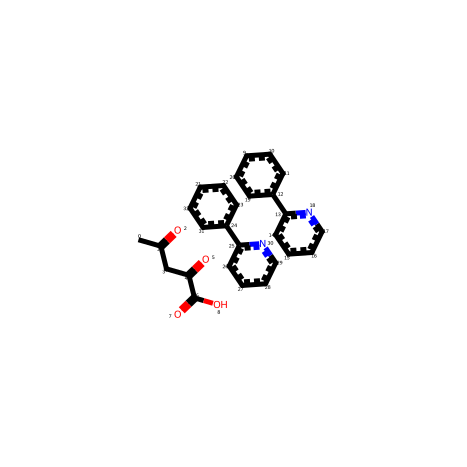 CC(=O)CC(=O)C(=O)O.c1ccc(-c2ccccn2)cc1.c1ccc(-c2ccccn2)cc1